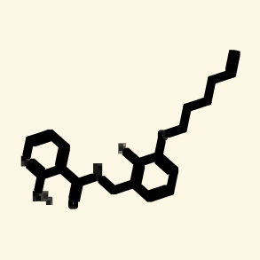 C=CCCCCOc1cccc(CNC(=O)c2cccnc2N)c1F